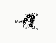 COC(=O)c1ccc(-c2cc(C3=C(CN4C(=O)O[C@H](c5cc(C(F)(F)F)cc(C(F)(F)F)c5)[C@@H]4C)CC(C)(C)CC3)c(OC)cc2F)c(Cl)c1